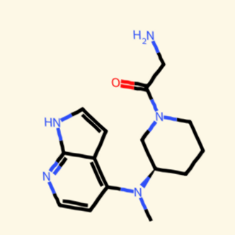 CN(c1ccnc2[nH]ccc12)[C@@H]1CCCN(C(=O)CN)C1